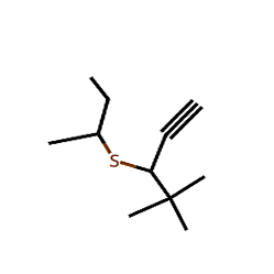 C#CC(SC(C)CC)C(C)(C)C